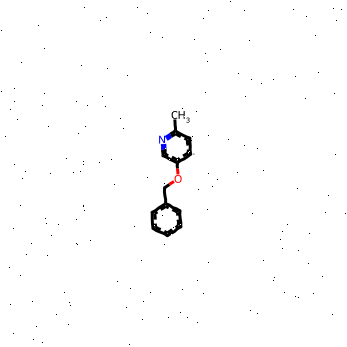 Cc1c[c]c(OCc2ccccc2)cn1